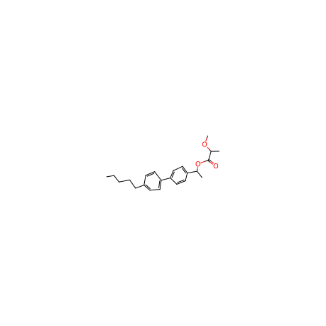 CCCCCc1ccc(-c2ccc(C(C)OC(=O)C(C)OC)cc2)cc1